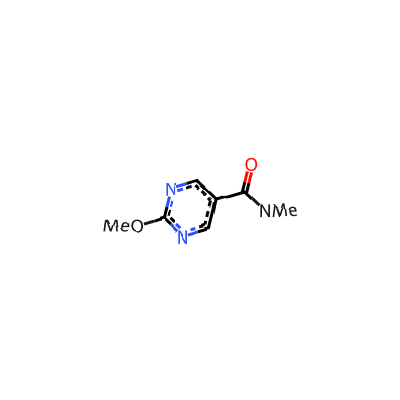 CNC(=O)c1cnc(OC)nc1